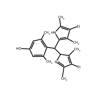 CCC1=C(C)C(C(c2[nH]c(C)c(CC)c2C)c2c(C)cc(O)cc2C)N=C1C